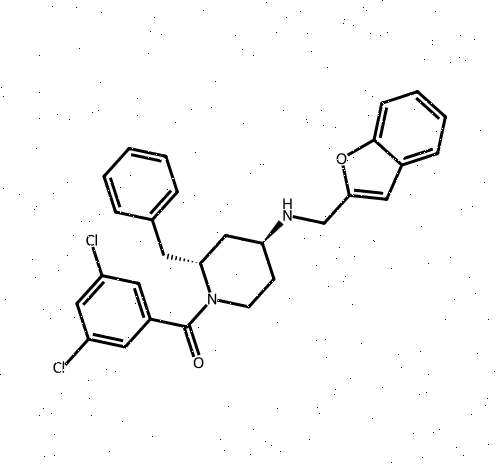 O=C(c1cc(Cl)cc(Cl)c1)N1CC[C@H](NCc2cc3ccccc3o2)C[C@H]1Cc1ccccc1